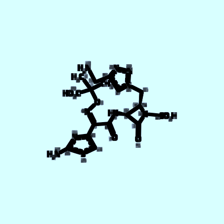 CC(C)(ON=C(C(=O)N[C@@H]1C(=O)N(S(=O)(=O)O)[C@@H]1Cn1cc(CN)nn1)c1csc(N)n1)C(=O)O